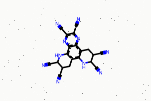 N#Cc1nc2c3c(c4c(c2nc1C#N)NC(C#N)C(C#N)C4)NC(C#N)C(C#N)C3